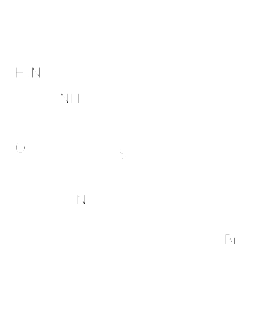 NNC(=O)c1nc2ccc(Br)cc2s1